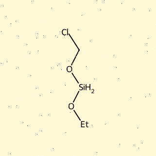 CCO[SiH2]OCCl